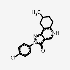 CC1CCc2[nH]cc3c(=O)n(-c4ccc(Cl)cc4)nc-3c2C1